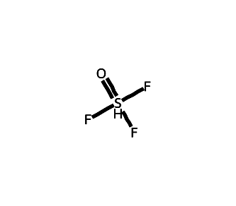 O=[SH](F)(F)F